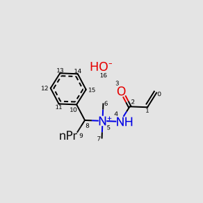 C=CC(=O)N[N+](C)(C)C(CCC)c1ccccc1.[OH-]